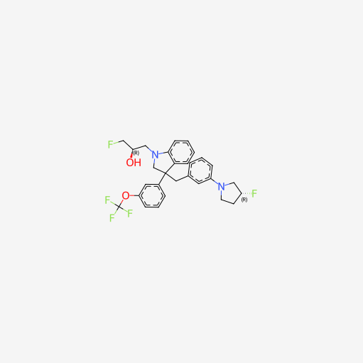 O[C@@H](CF)CN1CC(Cc2cccc(N3CC[C@@H](F)C3)c2)(c2cccc(OC(F)(F)F)c2)c2ccccc21